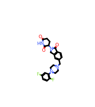 O=C1CCC(N2Cc3cc(CN4CCN(c5cc(F)ccc5F)CC4)ccc3C2=O)C(=O)N1